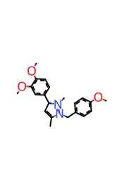 COc1ccc(CN2C(C)=CC(c3ccc(OC)c(OC)c3)N2C)cc1